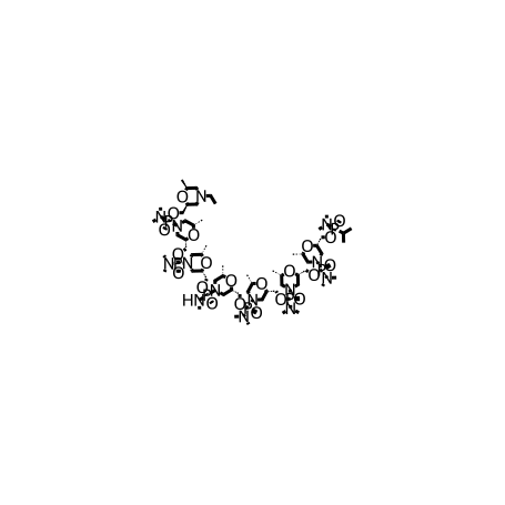 CCN1C[C@@H](COP(=O)(N(C)C)N2C[C@@H](COP(=O)(N(C)C)N3C[C@@H](COP(=O)(NC)N4C[C@@H](COP(=O)(N(C)C)N5C[C@@H](COP(=O)(N(C)C)N6C[C@@H](COP(=O)(N(C)C)N7C[C@@H](COP(=O)(C(C)C)N(C)C)O[C@@H](C)C7)O[C@@H](C)C6)O[C@@H](C)C5)O[C@@H](C)C4)O[C@@H](C)C3)O[C@@H](C)C2)O[C@@H](C)C1